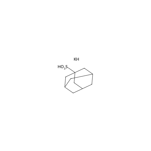 O=S(=O)(O)C12CC3CC(CC(C3)C1)C2.[KH]